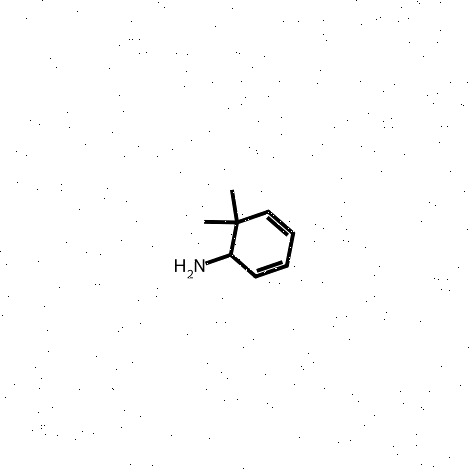 CC1(C)C=CC=CC1N